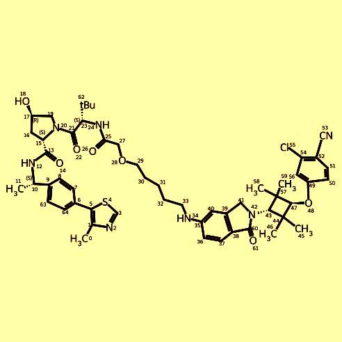 Cc1ncsc1-c1ccc([C@H](C)NC(=O)[C@@H]2C[C@@H](O)CN2C(=O)[C@@H](NC(=O)COCCCCCNc2ccc3c(c2)CN([C@H]2C(C)(C)[C@H](Oc4ccc(C#N)c(Cl)c4)C2(C)C)C3=O)C(C)(C)C)cc1